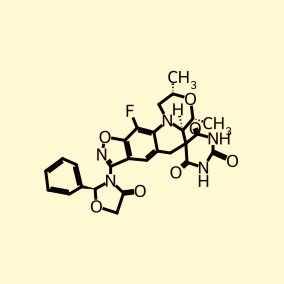 C[C@H]1CN2c3c(cc4c(N5C(=O)CO[C@H]5c5ccccc5)noc4c3F)CC3(C(=O)NC(=O)NC3=O)[C@@H]2[C@@H](C)O1